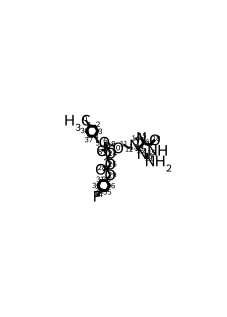 Cc1ccc(COP(=O)(COCCn2cnc3c(=O)[nH]c(N)nc32)OCOC(=O)Oc2ccc(F)cc2)cc1